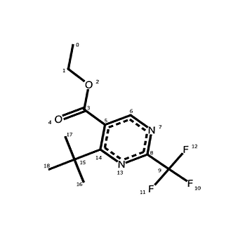 CCOC(=O)c1cnc(C(F)(F)F)nc1C(C)(C)C